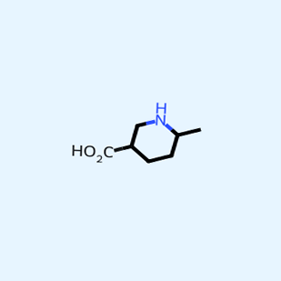 CC1CCC(C(=O)O)CN1